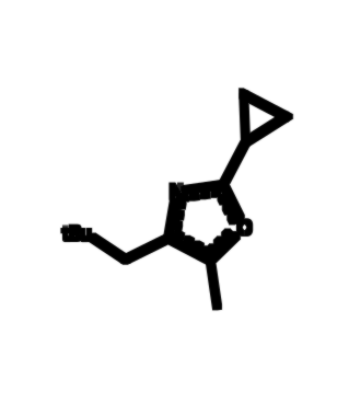 Cc1oc(C2CC2)nc1CC(C)(C)C